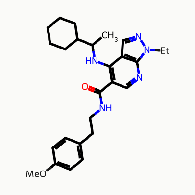 CCn1ncc2c(NC(C)C3CCCCC3)c(C(=O)NCCc3ccc(OC)cc3)cnc21